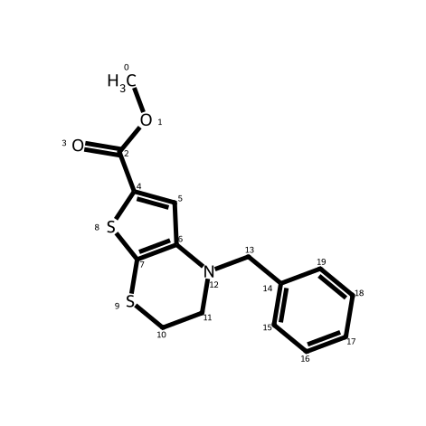 COC(=O)c1cc2c(s1)SCCN2Cc1ccccc1